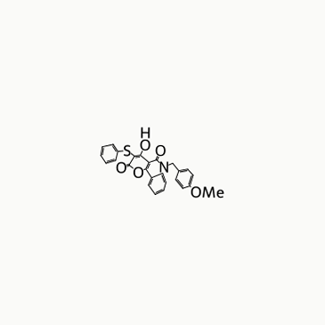 COc1ccc(Cn2c(=O)c3c(O)c(Sc4ccccc4)c(=O)oc3c3ccccc32)cc1